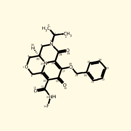 CC(C)N1C[C@@H]2COCc3c(C(=O)NF)c(=O)c(OCc4ccccc4)c(n32)C1=O